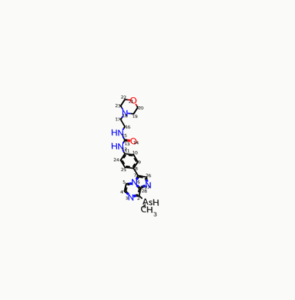 C[AsH]c1nccn2c(-c3ccc(NC(=O)NCCN4CCOCC4)cc3)cnc12